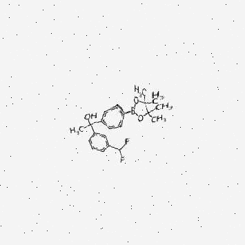 CC(O)(c1ccc(B2OC(C)(C)C(C)(C)O2)cc1)c1cccc(C(F)F)c1